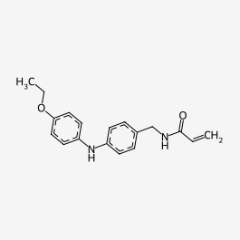 C=CC(=O)NCc1ccc(Nc2ccc(OCC)cc2)cc1